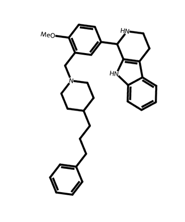 COc1ccc(C2NCCc3c2[nH]c2ccccc32)cc1CN1CCC(CCCc2ccccc2)CC1